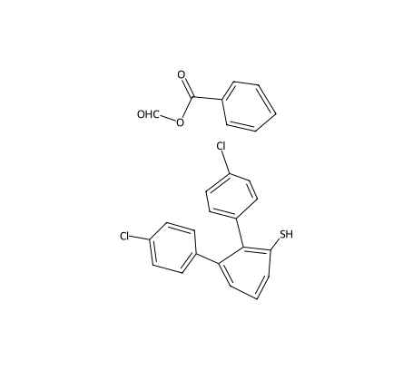 O=COC(=O)c1ccccc1.Sc1cccc(-c2ccc(Cl)cc2)c1-c1ccc(Cl)cc1